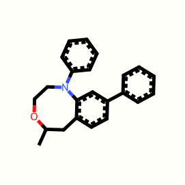 CC1Cc2ccc(-c3ccccc3)cc2N(c2ccccc2)CCO1